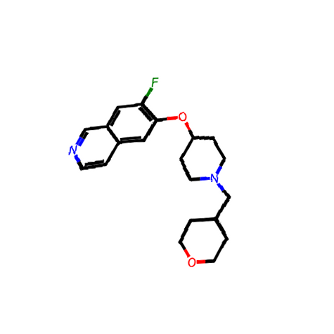 Fc1cc2cnccc2cc1OC1CCN(CC2CCOCC2)CC1